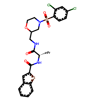 CCC[C@H](NC(=O)c1cc2ccccc2s1)C(=O)NCC1CN(S(=O)(=O)c2ccc(Cl)cc2Cl)CCO1